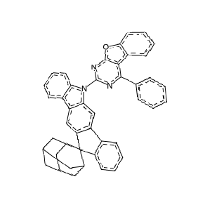 c1ccc(-c2nc(-n3c4ccccc4c4cc5c(cc43)-c3ccccc3C53C4CC5CC(C4)CC3C5)nc3oc4ccccc4c23)cc1